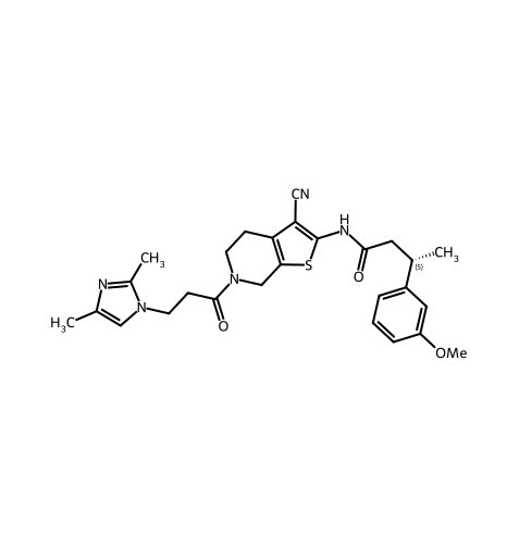 COc1cccc([C@@H](C)CC(=O)Nc2sc3c(c2C#N)CCN(C(=O)CCn2cc(C)nc2C)C3)c1